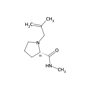 C=C(C)CN1CCC[C@H]1C(=O)NC